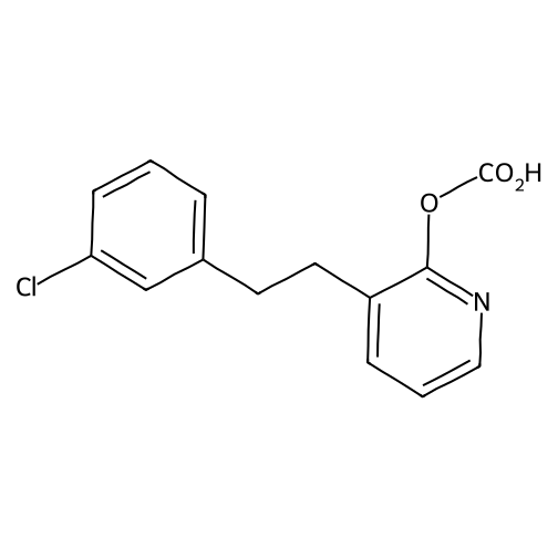 O=C(O)Oc1ncccc1CCc1cccc(Cl)c1